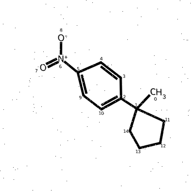 CC1(c2ccc([N+](=O)[O-])cc2)CCCC1